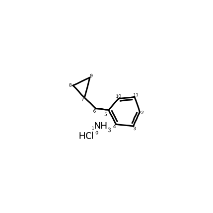 Cl.N.c1ccc(CC2CC2)cc1